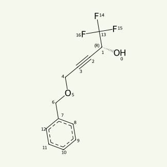 O[C@H](C#CCOCc1ccccc1)C(F)(F)F